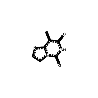 C=c1c(=O)[nH]c(=O)n2ccnc12